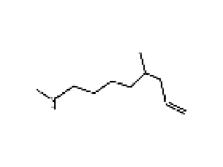 C=CCC(C)CCCCNC